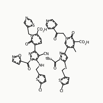 Cc1c(-c2cc(SCc3ccc(Cl)s3)n(C(=O)C(C)(C)C)n2)cn(CC(=O)c2ccncc2)c(=O)c1C(=O)O.N#Cc1c(-c2ccc(C(=O)O)n(Cc3cncs3)c2=O)nn(C(=O)c2ccno2)c1NCc1ccc(Cl)s1